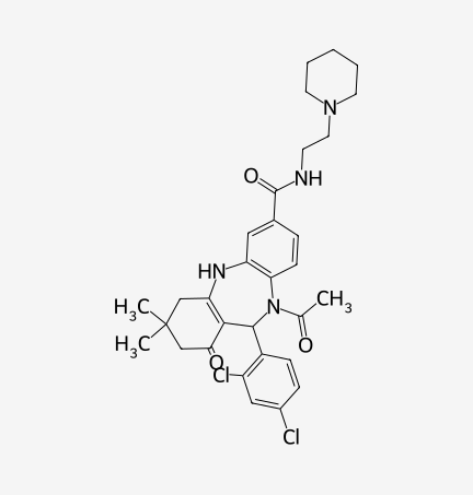 CC(=O)N1c2ccc(C(=O)NCCN3CCCCC3)cc2NC2=C(C(=O)CC(C)(C)C2)C1c1ccc(Cl)cc1Cl